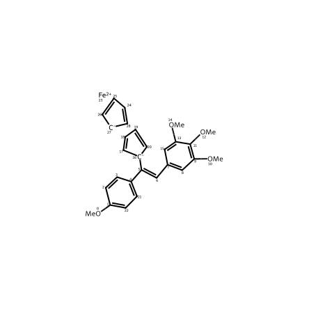 COc1ccc(/C(=C/c2cc(OC)c(OC)c(OC)c2)[c-]2cccc2)cc1.[Fe+2].c1cc[cH-]c1